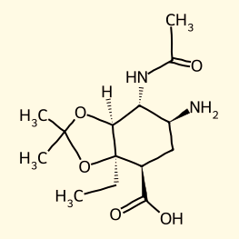 CC[C@]12OC(C)(C)O[C@H]1[C@H](NC(C)=O)[C@@H](N)C[C@H]2C(=O)O